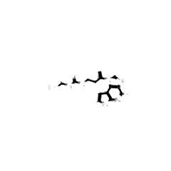 C=C(CCNC(=O)NCC(C)C)n1cnc2cnc3[nH]ccc3c21